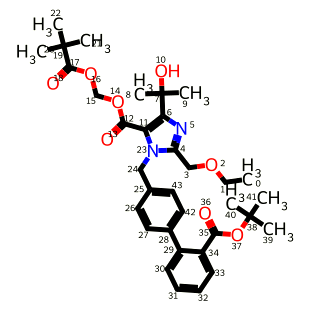 CCOCc1nc(C(C)(C)O)c(C(=O)OCOC(=O)C(C)(C)C)n1Cc1ccc(-c2ccccc2C(=O)OC(C)(C)C)cc1